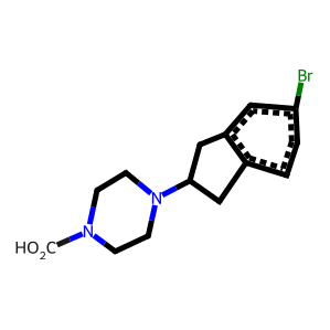 O=C(O)N1CCN(C2Cc3ccc(Br)cc3C2)CC1